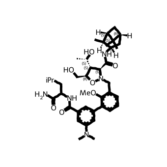 COc1c(CN2O[C@@H](CO)[C@H]([C@H](C)O)[C@H]2C(=O)N[C@H]2C[C@H]3C[C@@H]([C@@H]2C)C3(C)C)cccc1-c1cc(C(=O)NC(CC(C)C)C(N)=O)cc(N(C)C)c1